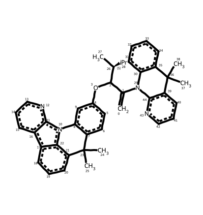 C=C(C(Oc1ccc2c(c1)-n1c3ncccc3c3cccc(c31)C2(C)C)[C@@H](C)C(C)C)N1c2ccccc2C(C)(C)c2cccnc21